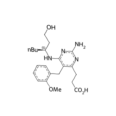 CCCC[C@@H](CCO)Nc1nc(N)nc(CCC(=O)O)c1Cc1ccccc1OC